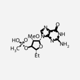 CC[C@H]1O[C@@H](n2cnc3c(=O)[nH]c(N)nc32)[C@@H](OC)C1OP(C)(=O)O